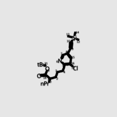 CCCC(CCCc1ncc(C#C[Si](C)(C)C)cc1Cl)C(=O)OC(C)(C)C